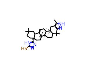 Cc1[nH]nc2c1C[C@@]1(C)C(CC[C@]3(C)C1CC=C1C4CC(C)(C)CC[C@]4(c4nnc(S)[nH]4)CC[C@]13C)C2(C)C